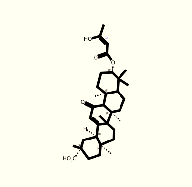 C/C(O)=C/C(=O)O[C@H]1CC[C@@]2(C)C(CC[C@]3(C)C2C(=O)C=C2[C@@H]4C[C@@](C)(C(=O)O)CC[C@]4(C)CCC23C)C1(C)C